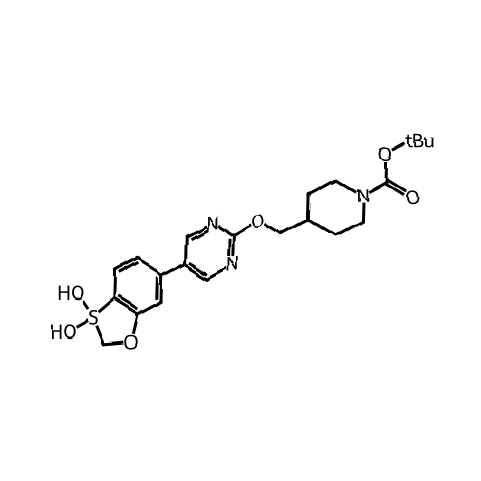 CC(C)(C)OC(=O)N1CCC(COc2ncc(-c3ccc4c(c3)OCS4(O)O)cn2)CC1